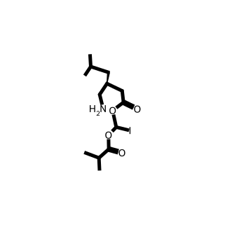 CC(C)C[C@H](CN)CC(=O)OC(I)OC(=O)C(C)C